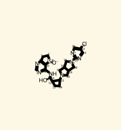 [O-][S+]1CCc2ncnc(N[C@H](O)C3CCC3N3CC4CN(c5ncc(Cl)cn5)CC4C3)c21